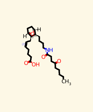 CCCCCC(=O)CCC(=O)NCCCC[C@H]1[C@@H](C/C=C\CCCC(=O)O)[C@H]2CC[C@@H]1O2